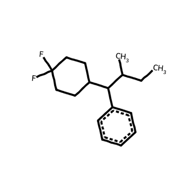 CCC(C)C(c1ccccc1)C1CCC(F)(F)CC1